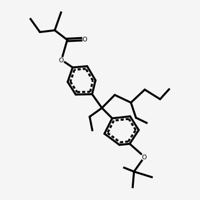 CCCC(CC)CC(CC)(c1ccc(OC(=O)C(C)CC)cc1)c1ccc(OC(C)(C)C)cc1